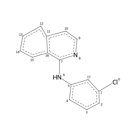 Clc1cccc(Nc2nccc3ccccc23)c1